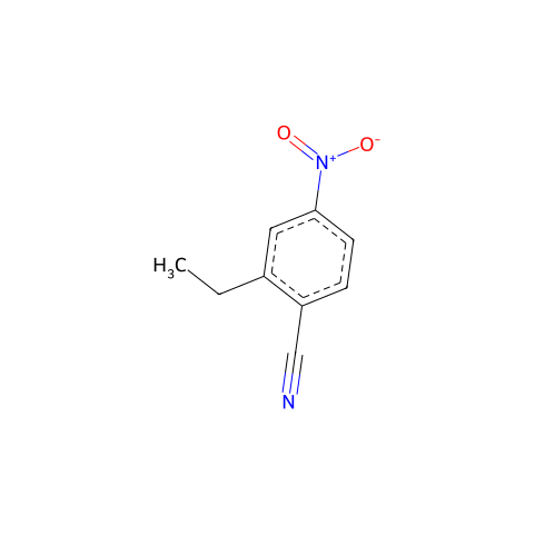 CCc1cc([N+](=O)[O-])ccc1C#N